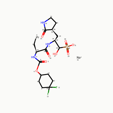 CC(C)C[C@H](NC(=O)OC1CCC(F)(F)CC1)C(=O)N[C@@H](C[C@@H]1CCNC1=O)C(O)S(=O)(=O)[O-].[Na+]